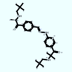 C[C@@H](NCC(C)(C)C)C(=O)c1ccc(/C=N/Nc2ccc(C(=O)C(C)(C)NCC(C)(C)C)cn2)cc1